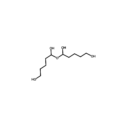 OCCCCC(O)OC(O)CCCCO